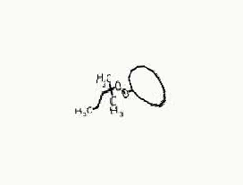 CCCC(C)(C)OOC1CCCCCCCCCCC1